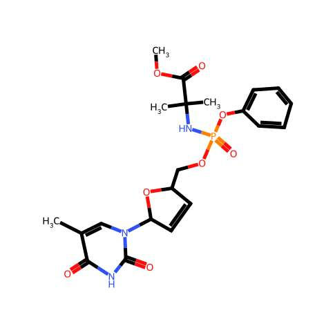 COC(=O)C(C)(C)NP(=O)(OCC1C=CC(n2cc(C)c(=O)[nH]c2=O)O1)Oc1ccccc1